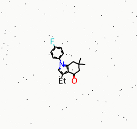 CCc1cn(-c2ccc(F)cc2)c2c1C(=O)CC(C)(C)C2